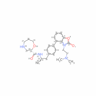 CN(C)CCn1c(=O)oc2cccc(-c3ccc(C[C@@H](C#N)NC(=O)[C@@H]4CNCCCO4)cc3)c21